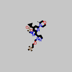 C[C@@H]1COCCN1c1cc(C2(S(C)(=O)=O)CC2)c2c(n1)c(-c1ccnn1COCCS(C)(C)C)nn2C